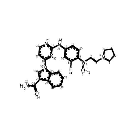 CN(CCN1CCCC1)c1ccc(Nc2nccc(-n3cc(C(N)=O)c4ccccc43)n2)cc1F